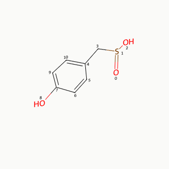 O=S(O)Cc1ccc(O)cc1